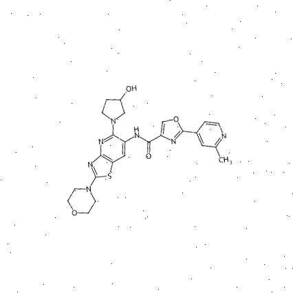 Cc1cc(-c2nc(C(=O)Nc3cc4sc(N5CCOCC5)nc4nc3N3CCC(O)C3)co2)ccn1